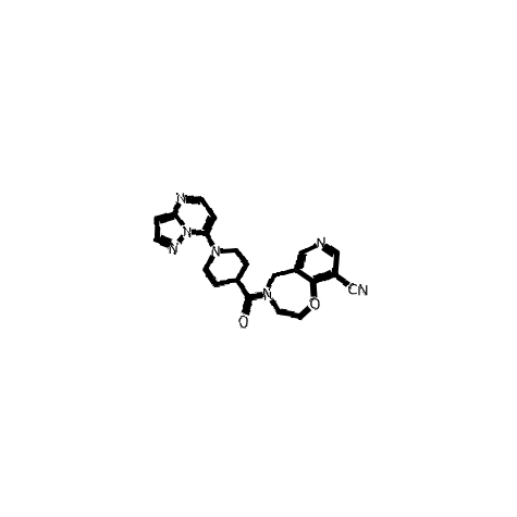 N#Cc1cncc2c1OCCN(C(=O)C1CCN(c3ccnc4ccnn34)CC1)C2